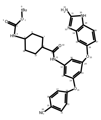 CC(C)(C)OC(=O)NC1CCC(C(=O)Nc2cc(Oc3ccc(C#N)cc3)cc(Oc3ccc4[nH]c(N)nc4c3)c2)CC1